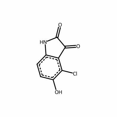 O=C1Nc2ccc(O)c(Cl)c2C1=O